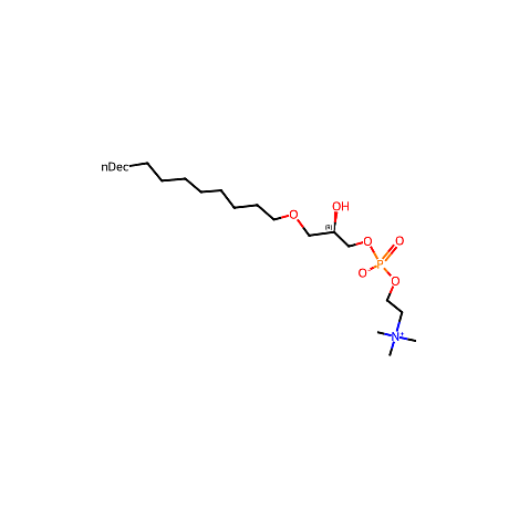 CCCCCCCCCCCCCCCCCCOC[C@@H](O)COP(=O)([O-])OCC[N+](C)(C)C